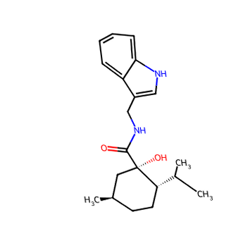 CC(C)[C@@H]1CC[C@@H](C)C[C@@]1(O)C(=O)NCc1c[nH]c2ccccc12